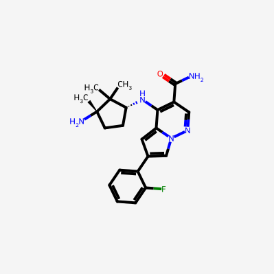 CC1(C)[C@H](Nc2c(C(N)=O)cnn3cc(-c4ccccc4F)cc23)CC[C@]1(C)N